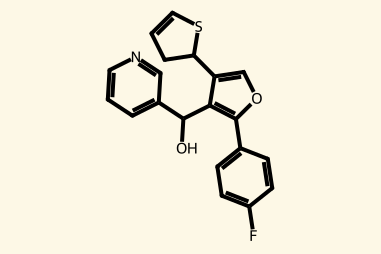 OC(c1cccnc1)c1c(C2CC=CS2)coc1-c1ccc(F)cc1